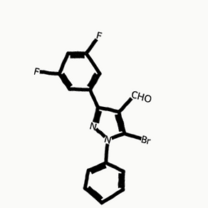 O=Cc1c(-c2cc(F)cc(F)c2)nn(-c2ccccc2)c1Br